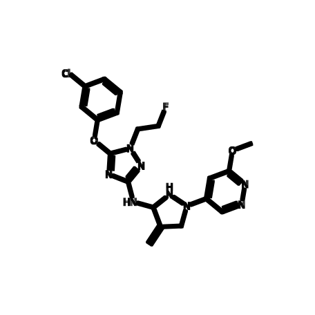 C=C1CN(c2cnnc(OC)c2)NC1Nc1nc(Oc2cccc(Cl)c2)n(CCF)n1